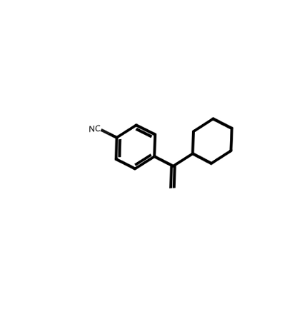 C=C(c1ccc(C#N)cc1)C1CCCCC1